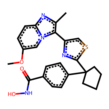 COc1ccc2nc(C)c(-c3csc(C4(c5ccc(C(=O)NO)cc5)CCCC4)n3)n2c1